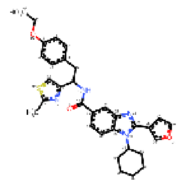 Cc1nc(C(Cc2ccc(OCC(=O)O)cc2)NC(=O)c2ccc3c(c2)nc(-c2ccoc2)n3C2CCCCC2)cs1